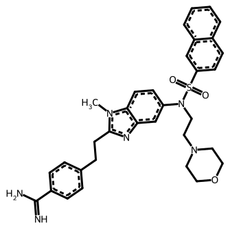 Cn1c(CCc2ccc(C(=N)N)cc2)nc2cc(N(CCN3CCOCC3)S(=O)(=O)c3ccc4ccccc4c3)ccc21